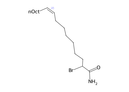 CCCCCCCC/C=C\CCCCCCC(Br)C(N)=O